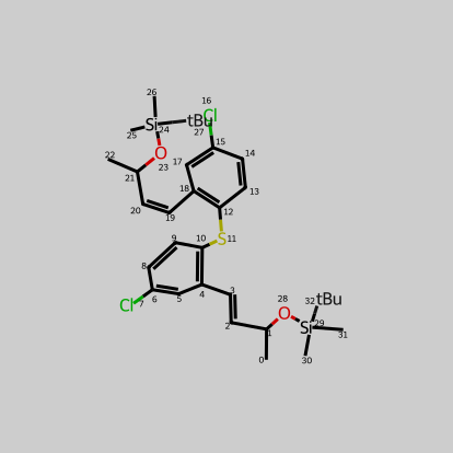 CC(C=Cc1cc(Cl)ccc1Sc1ccc(Cl)cc1/C=C\C(C)O[Si](C)(C)C(C)(C)C)O[Si](C)(C)C(C)(C)C